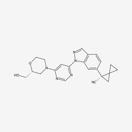 N#C[C@@]1(c2ccc3cnn(-c4cc(N5CCO[C@@H](CO)C5)ncn4)c3c2)CC12CC2